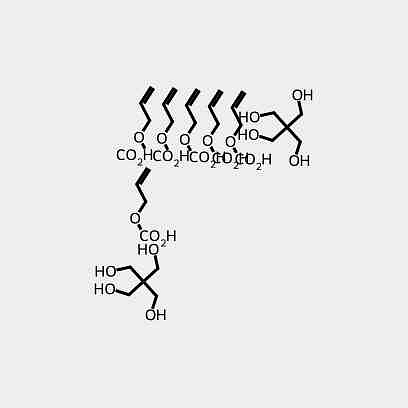 C=CCOC(=O)O.C=CCOC(=O)O.C=CCOC(=O)O.C=CCOC(=O)O.C=CCOC(=O)O.C=CCOC(=O)O.OCC(CO)(CO)CO.OCC(CO)(CO)CO